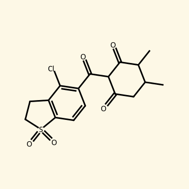 CC1CC(=O)C(C(=O)c2ccc3c(c2Cl)CCS3(=O)=O)C(=O)C1C